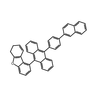 C1=Cc2c(oc3cccc(-c4c5ccccc5c(-c5ccc(-c6ccc7ccccc7c6)cc5)c5ccccc45)c23)CC1